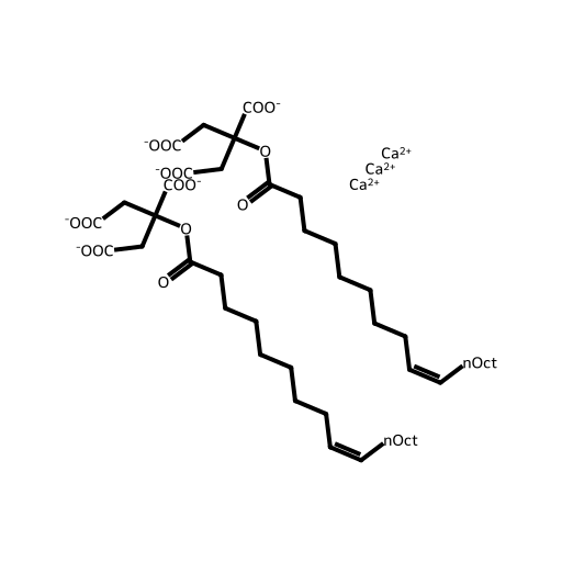 CCCCCCCC/C=C\CCCCCCCC(=O)OC(CC(=O)[O-])(CC(=O)[O-])C(=O)[O-].CCCCCCCC/C=C\CCCCCCCC(=O)OC(CC(=O)[O-])(CC(=O)[O-])C(=O)[O-].[Ca+2].[Ca+2].[Ca+2]